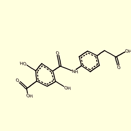 O=C(O)Cc1ccc(NC(=O)c2cc(O)c(C(=O)O)cc2O)cc1